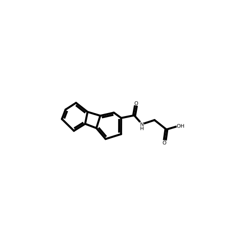 O=C(O)CNC(=O)c1ccc2c(c1)-c1ccccc1-2